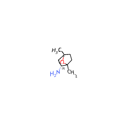 CC12CCC(C)(O1)[C@H](N)C2